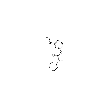 CCSc1cccc(SC(=O)NC2CCCCC2)c1